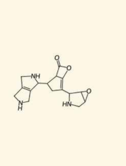 O=C1OC2=C(C3NCC4OC43)CC(C3NCC4=C3CNC4)C12